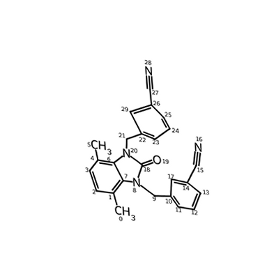 Cc1ccc(C)c2c1n(Cc1cccc(C#N)c1)c(=O)n2Cc1cccc(C#N)c1